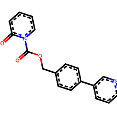 O=C(OCc1ccc(-c2cccnc2)cc1)n1ccccc1=O